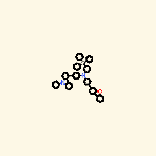 c1ccc(-n2c3ccccc3c3c(-c4ccc(N(c5ccc(-c6ccc7c(c6)oc6ccccc67)cc5)c5cccc([Si](c6ccccc6)(c6ccccc6)c6ccccc6)c5)cc4)cccc32)cc1